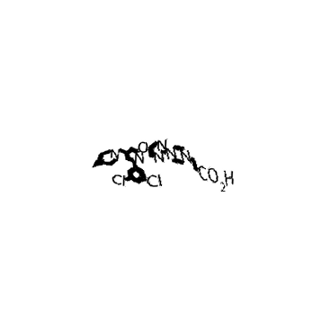 O=C(O)CCN1CCN(c2ncc(Oc3cc(CN4CCC5CC5CC4)cc(-c4cc(Cl)cc(Cl)c4)n3)cn2)CC1